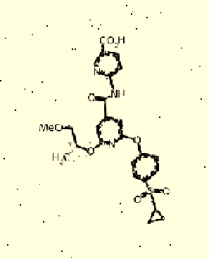 COC[C@@H](C)Oc1cc(C(=O)Nc2ccc(C(=O)O)cn2)cc(Oc2ccc(S(=O)(=O)C3CC3)cc2)n1